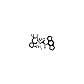 CN1CCCC12CC(=O)NS(=O)(=NC(=O)Nc1c3c(cc4c1CCC4)CCC3)C2